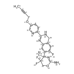 CC#CCOc1ccc(C2=Nc3cc(C4(C)N=C(N)OCC4(F)F)c(F)cc3CN2)nc1